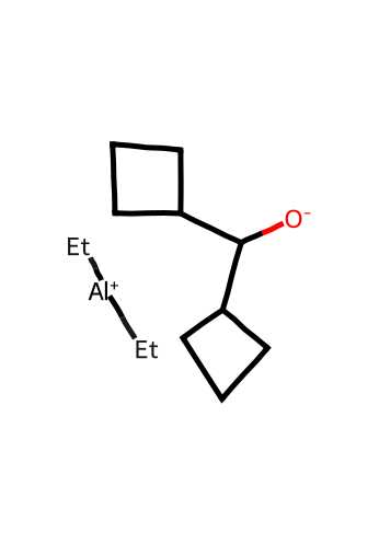 C[CH2][Al+][CH2]C.[O-]C(C1CCC1)C1CCC1